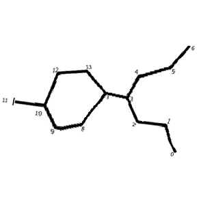 CCCC(CCC)C1CCC(I)CC1